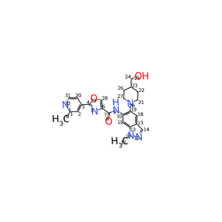 Cc1cc(-c2nc(C(=O)Nc3cc4c(cnn4C)cc3N3CCC(CO)CC3)co2)ccn1